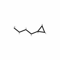 CCCCC1CC1